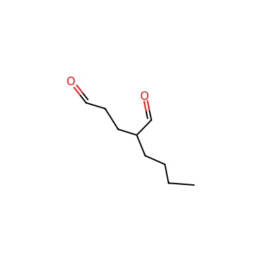 CCCCC(C=O)CCC=O